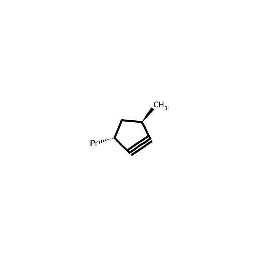 CC(C)[C@H]1C#C[C@H](C)C1